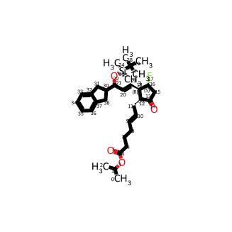 CC(C)OC(=O)CCCC=CC[C@H]1C(=O)C[C@H](F)[C@@H]1C=CC(O[Si](C)(C)C(C)(C)C)C1Cc2ccccc2C1